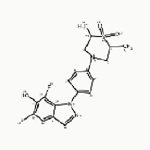 CC1CN(c2ccc(-n3ncc4cc(F)c(O)c(F)c43)cc2)CC(C)S1(=O)=O